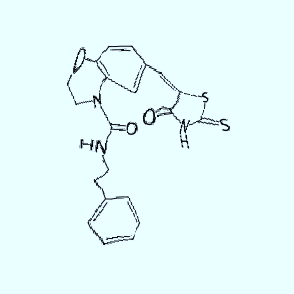 O=C1NC(=S)SC1=Cc1ccc2c(c1)N(C(=O)NCCc1ccccc1)CCO2